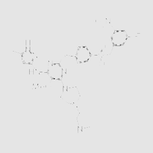 COc1c(Nc2cc(C)[nH]n2)nc(Sc2ccc(S(=O)(=O)Cc3cc(F)cc([N+](=O)[O-])c3)cc2)nc1N1CCN(CCN(C)C)CC1